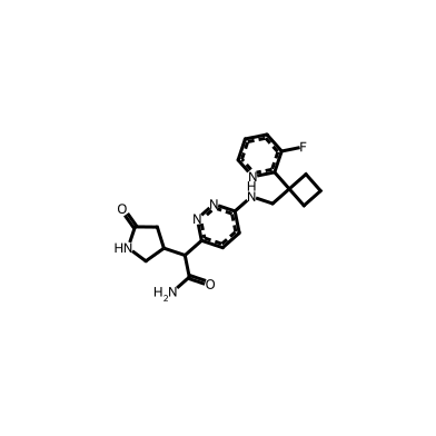 NC(=O)C(c1ccc(NCC2(c3ncccc3F)CCC2)nn1)C1CNC(=O)C1